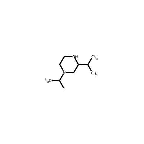 CC(C)C1CN([C@H](C)I)CCN1